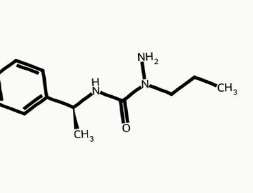 CCCN(N)C(=O)N[C@@H](C)c1ccccc1